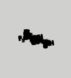 CCOc1ccc(-c2cc3[nH]c(CNCCN4CCNC4=O)nc3c(C#N)n2)cc1C(F)(F)F